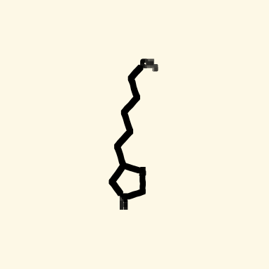 CCCCCCC1CNCS1